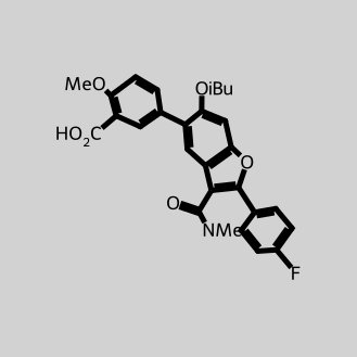 CNC(=O)c1c(-c2ccc(F)cc2)oc2cc(OCC(C)C)c(-c3ccc(OC)c(C(=O)O)c3)cc12